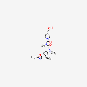 CCN(CC(=O)N1CCC(CCO)CC1)C(=O)CCN(C)c1ccc(-c2cnc(C)o2)c(OC)c1